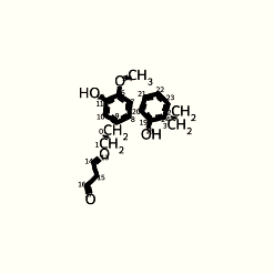 C=C.C=C.COc1ccccc1O.O=CCC=O.Oc1ccccc1